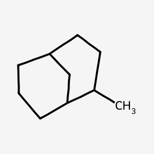 CC1CCC2CCCC1C2